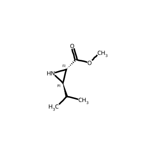 COC(=O)[C@H]1N[C@@H]1C(C)C